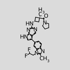 Cc1nc2ccc(-c3c[nH]c4nc(N[C@H]5C[C@](C)(C(=O)N6CCCC6)C5)ncc34)cc2n1CC(F)F